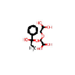 CCC(O)(O)c1ccccc1.OC(O)COCC(O)O